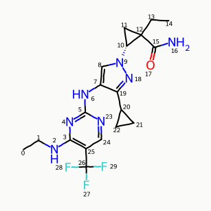 CCNc1nc(Nc2cn([C@@H]3CC3(CC)C(N)=O)nc2C2CC2)ncc1C(F)(F)F